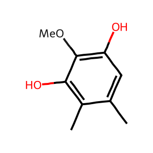 COc1c(O)cc(C)c(C)c1O